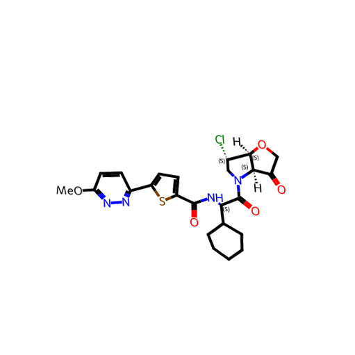 COc1ccc(-c2ccc(C(=O)N[C@H](C(=O)N3C[C@H](Cl)[C@H]4OCC(=O)[C@H]43)C3CCCCC3)s2)nn1